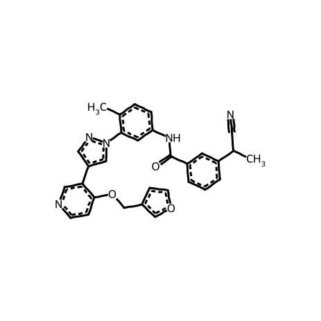 Cc1ccc(NC(=O)c2cccc(C(C)C#N)c2)cc1-n1cc(-c2cnccc2OCc2ccoc2)cn1